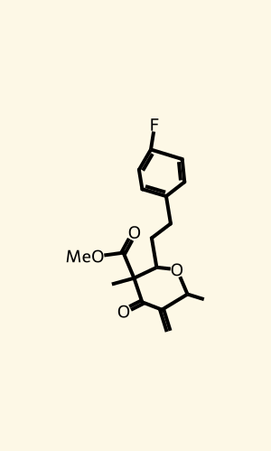 C=C1C(=O)C(C)(C(=O)OC)C(CCc2ccc(F)cc2)OC1C